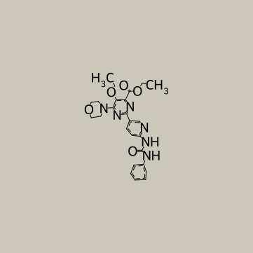 CCOC(=O)c1nc(-c2ccc(NC(=O)Nc3ccccc3)nc2)nc(N2CCOCC2)c1OCC